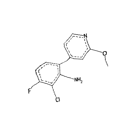 COc1cc(-c2ccc(F)c(Cl)c2N)ccn1